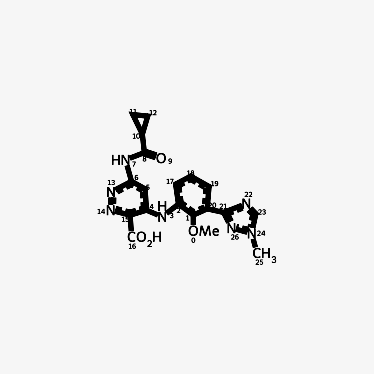 COc1c(Nc2cc(NC(=O)C3CC3)nnc2C(=O)O)cccc1-c1ncn(C)n1